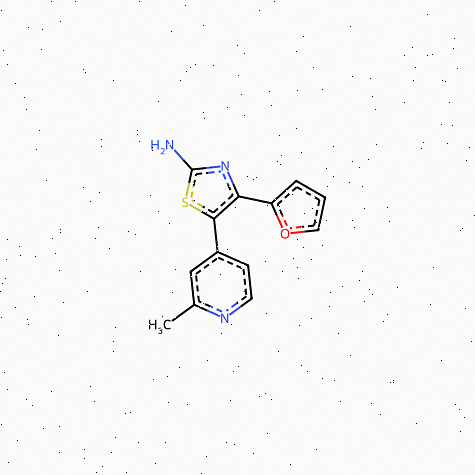 Cc1cc(-c2sc(N)nc2-c2ccco2)ccn1